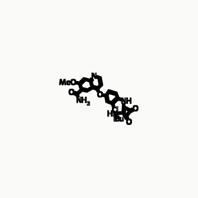 CC[C@@H](C)Nc1c(Nc2ccc(Oc3ccnc4cc(OC)c(C(N)=O)cc34)cc2Cl)c(=O)c1=O